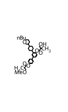 C=C(CO)C(=O)Oc1ccc(-c2ccc(OC(=O)C(C)COC)cc2)cc1C1CCC(C2CCC(CCCC)OC2)CC1